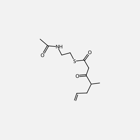 C=CCC(C)C(=O)CC(=O)SCCNC(C)=O